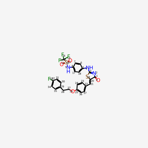 O=C1N=C(Nc2ccc(NS(=O)(=O)C(F)(F)F)cc2)SC1=Cc1ccc(OCCc2ccc(F)cc2)cc1